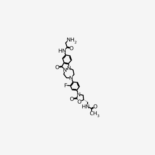 CC(=O)NC[C@H]1CN(c2ccc(N3CCn4c(=O)c5cc(NC(=O)CN)ccc5n4CC3)c(F)c2)C(=O)O1